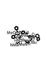 CN[C@@H](C)C(=O)N[C@H](C(=O)N1Cc2ccccc2CC1C(=O)N(Cc1ccc(C(=O)N[C@H]2C[C@@H](C(=O)N[C@@H]3CCCc4ccccc43)N(C(=O)[C@@H](NC(=O)[C@H](C)NC)C(C)(C)C)C2)cc1)[C@@H](COC)c1ccccc1)C(C)(C)C